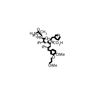 COCCCOc1cc(C[C@H](C[C@H]2[C@H](C[C@H](C(=O)NCC(C)(C)C(N)=O)C(C)C)OC(Cc3cccnc3)N2C(=O)O)C(C)C)ccc1OC